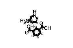 C1=CNSC=C1.O.O=C(O)c1cccc(C(=O)O)c1.[NaH]